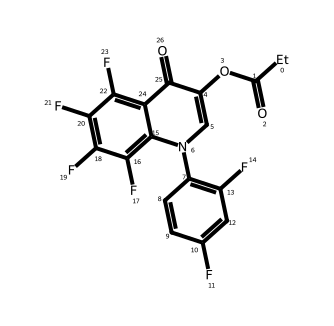 CCC(=O)Oc1cn(-c2ccc(F)cc2F)c2c(F)c(F)c(F)c(F)c2c1=O